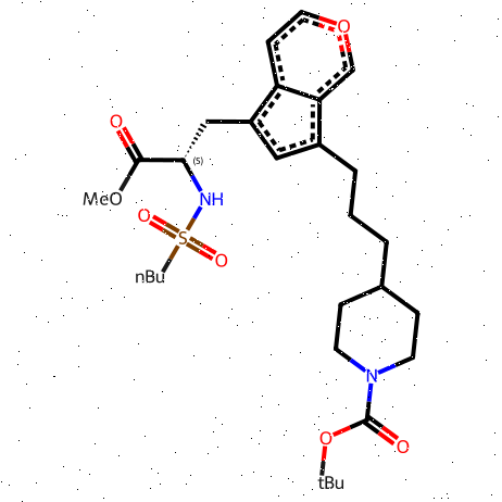 CCCCS(=O)(=O)N[C@@H](Cc1cc(CCCC2CCN(C(=O)OC(C)(C)C)CC2)c2coccc1-2)C(=O)OC